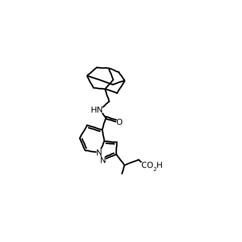 CC(CC(=O)O)c1cc2c(C(=O)NCC34CC5CC(CC(C5)C3)C4)cccn2n1